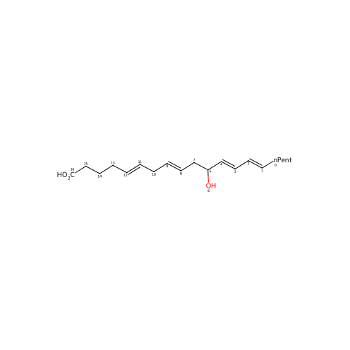 CCCCC/C=C/C=C/C(O)C/C=C/C/C=C/CCCC(=O)O